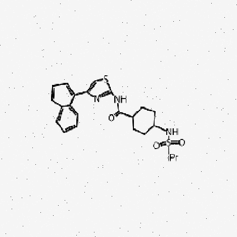 CC(C)S(=O)(=O)NC1CCC(C(=O)Nc2nc(-c3cccc4ccccc34)cs2)CC1